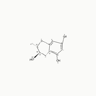 C[C@@H]1Oc2cc(O)cc(O)c2C[C@H]1O